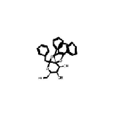 OC[C@H]1OC(Cc2ccccc2)(OCc2ccccc2)[C@](Cc2ccccc2)(OCc2ccccc2)[C@@H](O)[C@H]1O